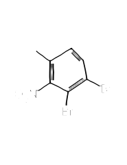 Cc1ccc(Br)c(Br)c1[N+](=O)[O-]